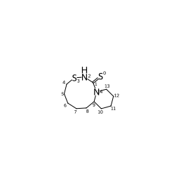 S=C1NSCCCCCC2CCCCN12